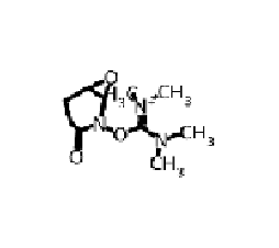 CN(C)C(ON1C(=O)CCC2OC21)=[N+](C)C